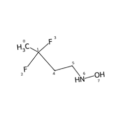 CC(F)(F)CCNO